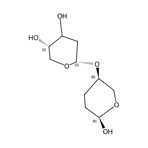 OC1C[C@H](O[C@@H]2CC[C@H](O)OC2)OC[C@@H]1O